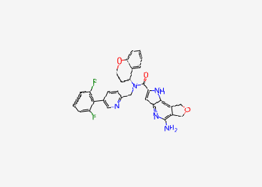 Nc1nc2cc(C(=O)N(Cc3ccc(-c4c(F)cccc4F)cn3)C3CCOc4ccccc43)[nH]c2c2c1COC2